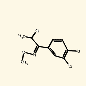 CON=C(c1ccc(Cl)c(Cl)c1)C(C)Cl